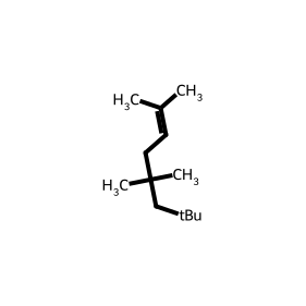 CC(C)=CCC(C)(C)CC(C)(C)C